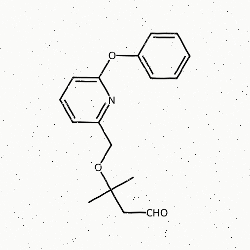 CC(C)(CC=O)OCc1cccc(Oc2ccccc2)n1